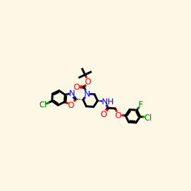 CC(C)(C)OC(=O)N1C[C@@H](NC(=O)COc2ccc(Cl)c(F)c2)CC[C@@H]1c1nc2ccc(Cl)cc2o1